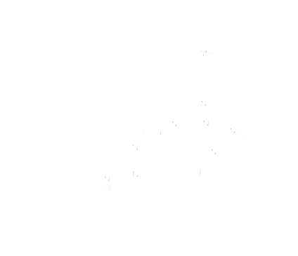 COc1c(C)cnc(CN2C(=O)C(=Cc3nc(NC(=O)C4CCCC4)c[nH]3)c3c(Cl)nc(N)nc32)c1C